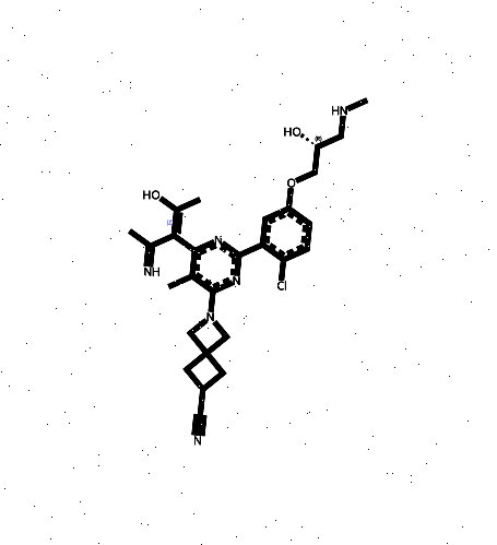 CNC[C@@H](O)COc1ccc(Cl)c(-c2nc(/C(C(C)=N)=C(\C)O)c(C)c(N3CC4(CC(C#N)C4)C3)n2)c1